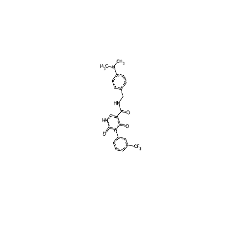 CN(C)c1ccc(CNC(=O)c2c[nH]c(=O)n(-c3cccc(C(F)(F)F)c3)c2=O)cc1